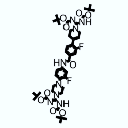 CC(C)(C)OC(=O)/N=C(/NC(=O)OC(C)(C)C)N1CC=C(c2ccc(C(=O)Nc3ccc(N4CCN(/C(=N\C(=O)OC(C)(C)C)NC(=O)OC(C)(C)C)CC4)c(F)c3)cc2F)CC1